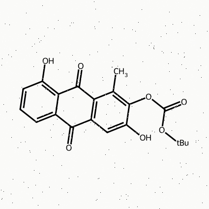 Cc1c(OC(=O)OC(C)(C)C)c(O)cc2c1C(=O)c1c(O)cccc1C2=O